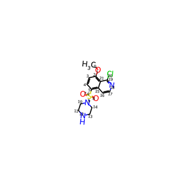 COc1ccc(S(=O)(=O)N2CCNCC2)c2ccnc(Cl)c12